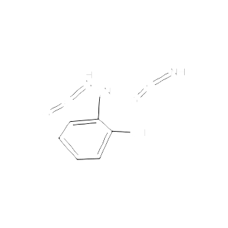 Cc1ccccc1C#N.N=C=O.N=C=O